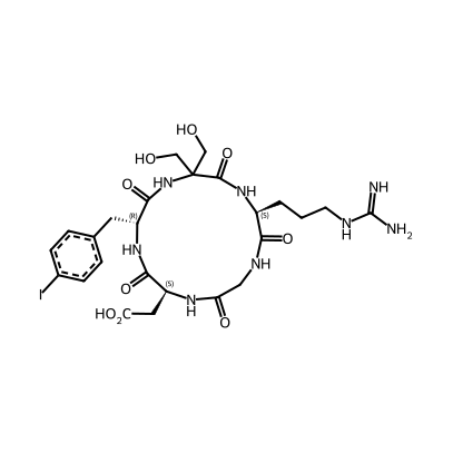 N=C(N)NCCC[C@@H]1NC(=O)C(CO)(CO)NC(=O)[C@@H](Cc2ccc(I)cc2)NC(=O)[C@H](CC(=O)O)NC(=O)CNC1=O